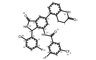 O=C1CCc2c(cccc2-c2cc(NC(=O)c3cc(F)cc(C(F)(F)F)c3)c3c(c2)C(=O)NC3c2cc(F)ccc2Cl)N1